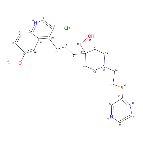 COc1ccc2ncc(Cl)c(CCCC3(CO)CCN(CCSc4cnccn4)CC3)c2c1